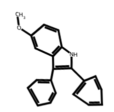 COc1ccc2[nH]c(-c3ccccc3)c(-c3ccccc3)c2c1